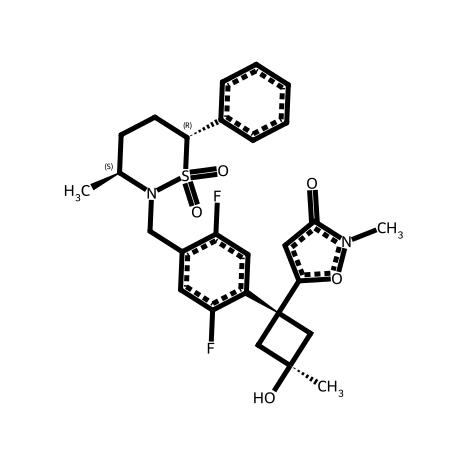 C[C@H]1CC[C@H](c2ccccc2)S(=O)(=O)N1Cc1cc(F)c([C@]2(c3cc(=O)n(C)o3)C[C@](C)(O)C2)cc1F